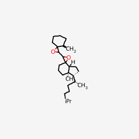 C=C1CCCCC12OC2C1OC12CCC[C@]1(C)[C@@H]([C@H](C)CCCC(C)C)CC[C@@H]21